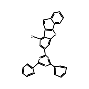 Clc1cc(-c2nc(-c3ccccc3)nc(-c3ccccc3)n2)cc2sc3c4ccccc4ccc3c12